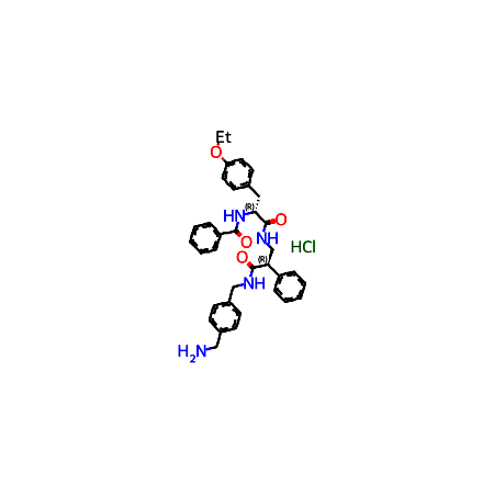 CCOc1ccc(C[C@@H](NC(=O)c2ccccc2)C(=O)NC[C@H](C(=O)NCc2ccc(CN)cc2)c2ccccc2)cc1.Cl